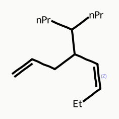 C=CCC(/C=C\CC)C(CCC)CCC